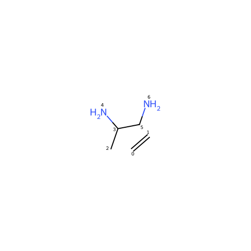 C=C.CC(N)CN